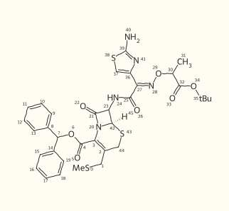 CSCC1=C(C(=O)OC(c2ccccc2)c2ccccc2)N2C(=O)C(NC(=O)/C(=N/OC(C)C(=O)OC(C)(C)C)c3csc(N)n3)[C@H]2SC1